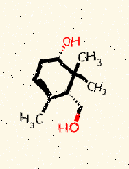 CC1=CC[C@H](O)C(C)(C)[C@@H]1CO